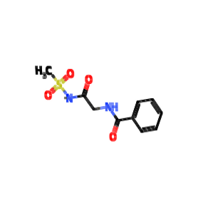 CS(=O)(=O)[N]C(=O)CNC(=O)c1ccccc1